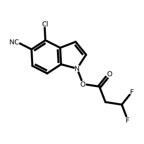 N#Cc1ccc2c(ccn2OC(=O)CC(F)F)c1Cl